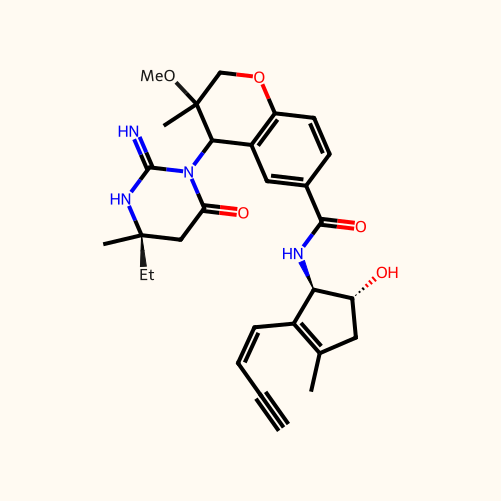 C#C/C=C\C1=C(C)C[C@@H](O)[C@@H]1NC(=O)c1ccc2c(c1)C(N1C(=N)N[C@](C)(CC)CC1=O)C(C)(OC)CO2